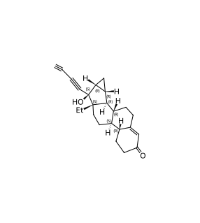 C#CC#C[C@]1(O)[C@@H]2C[C@@H]2[C@H]2[C@@H]3CCC4=CC(=O)CC[C@@H]4[C@H]3CC[C@@]21CC